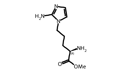 COC(=O)[C@H](N)CCCn1ccnc1N